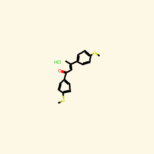 CSc1ccc(C(=O)/C=C(\C)c2ccc(SC)cc2)cc1.Cl